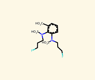 O=C(O)c1cccc(N(CCCF)S(=O)(=O)O)c1N(CCCF)S(=O)(=O)O